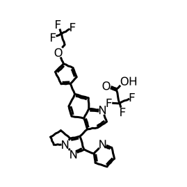 FC(F)(F)COc1ccc(-c2ccc3c(-c4c(-c5ccccn5)nn5c4CCC5)ccnc3c2)cc1.O=C(O)C(F)(F)F